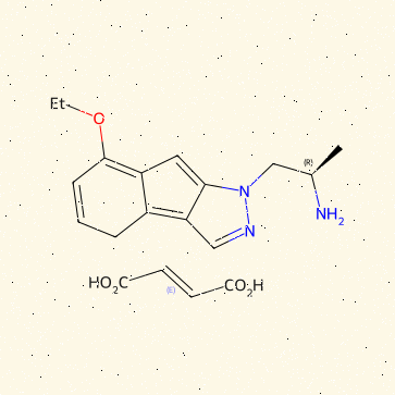 CCOC1=C2C=c3c(cnn3C[C@@H](C)N)=C2CC=C1.O=C(O)/C=C/C(=O)O